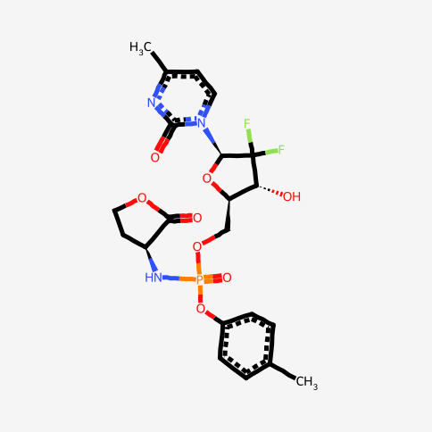 Cc1ccc(OP(=O)(N[C@H]2CCOC2=O)OC[C@H]2O[C@@H](n3ccc(C)nc3=O)C(F)(F)[C@@H]2O)cc1